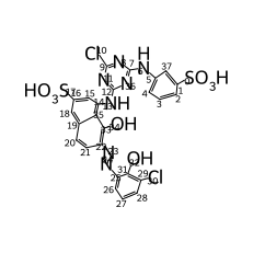 O=S(=O)(O)c1cccc(Nc2nc(Cl)nc(Nc3cc(S(=O)(=O)O)cc4ccc(/N=N/c5cccc(Cl)c5O)c(O)c34)n2)c1